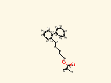 C=C(C)C(=O)OCCCCCc1ccccc1-c1ccccc1